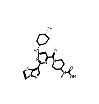 CN(C(=O)O)C1CCN(C(=O)c2cc(N[C@H]3CC[C@@H](O)CC3)nc(-c3cnn4ccsc34)n2)CC1